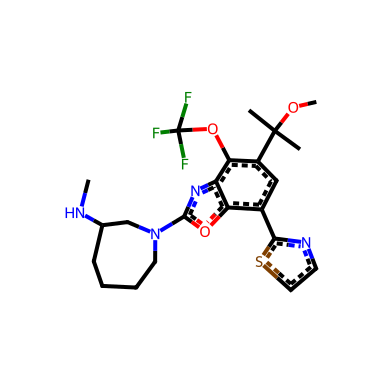 CNC1CCCCN(c2nc3c(OC(F)(F)F)c(C(C)(C)OC)cc(-c4nccs4)c3o2)C1